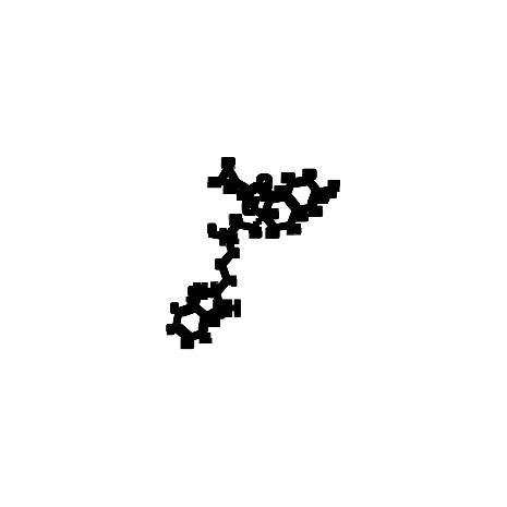 CN(CCCc1nc2ccccc2[nH]1)CC[C@@]1(OC(=O)C2CC2)CCc2cc(F)ccc2C1